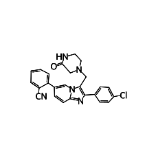 N#Cc1ccccc1-c1ccc2nc(-c3ccc(Cl)cc3)c(CN3CCNC(=O)C3)n2c1